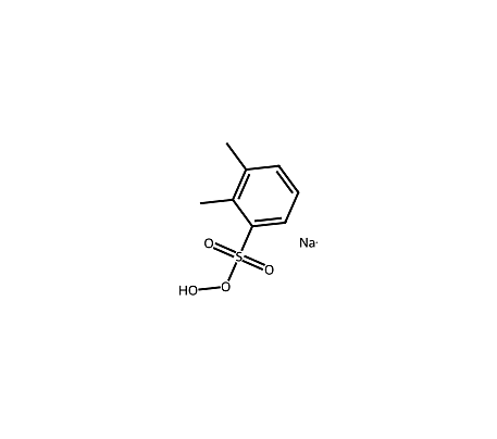 Cc1cccc(S(=O)(=O)OO)c1C.[Na]